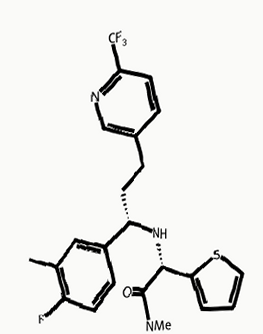 CNC(=O)[C@H](N[C@@H](CCc1ccc(C(F)(F)F)nc1)c1ccc(F)c(C)c1)c1cccs1